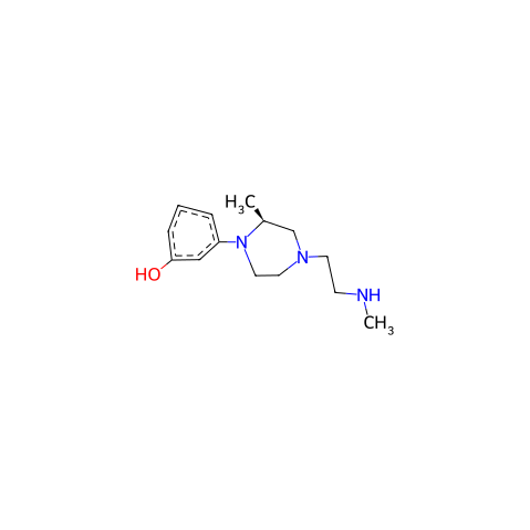 CNCCN1CCN(c2cccc(O)c2)[C@@H](C)C1